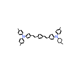 Cc1ccc(N(c2ccc(C)cc2)c2ccc(C=Cc3ccc(C=Cc4ccc(N(c5ccc(C)cc5)C5CCC(C)CC5)cc4)cc3)cc2)cc1